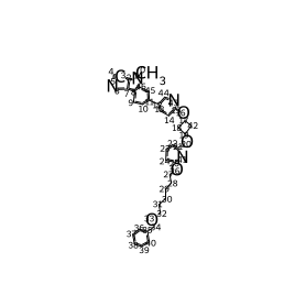 Cn1c2ccncc2c2ccc(-c3ccc(O[C@H]4C[C@H](Oc5cccc(OCCCCCCOCc6ccccc6)n5)C4)nc3)cc21